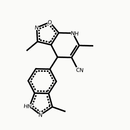 CC1=C(C#N)C(c2ccc3[nH]nc(C)c3c2)c2c(C)noc2N1